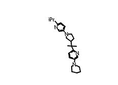 CC(C)c1ccc(N2CCC(C(C)(C)c3ccc(N4CCCCC4)cn3)C2)cn1